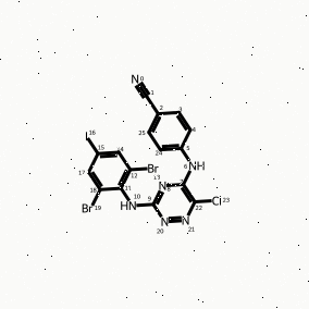 N#Cc1ccc(Nc2nc(Nc3c(Br)cc(I)cc3Br)nnc2Cl)cc1